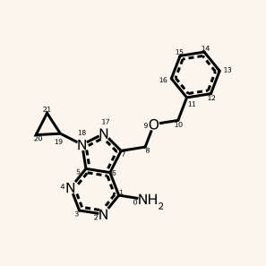 Nc1ncnc2c1c(COCc1ccccc1)nn2C1CC1